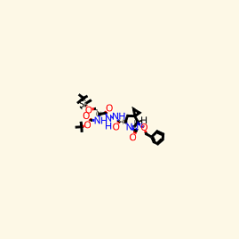 CC(C)(C)OC(=O)N[C@H](CO[Si](C)(C)C(C)(C)C)C(=O)NNC(=O)[C@@H]1CC2(CC2)[C@H]2CN1C(=O)N2OCc1ccccc1